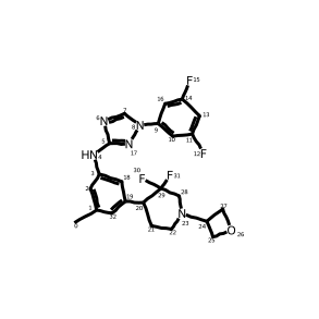 Cc1cc(Nc2ncn(-c3cc(F)cc(F)c3)n2)cc(C2CCN(C3COC3)CC2(F)F)c1